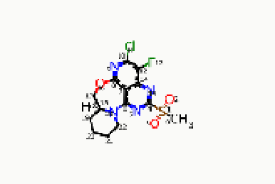 CS(=O)(=O)c1nc2c3c(nc(Cl)c(F)c3n1)OC[C@@H]1CCCCN21